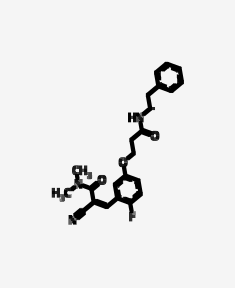 CN(C)C(=O)C(C#N)=Cc1cc(OCCC(=O)N[CH]Cc2ccccc2)ccc1F